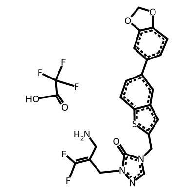 NCC(Cn1ncn(Cc2cc3cc(-c4ccc5c(c4)OCO5)ccc3s2)c1=O)=C(F)F.O=C(O)C(F)(F)F